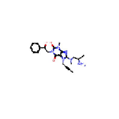 CC#CCn1c(N(C)CC(C)N)nc2c1c(=O)n(CC(=O)c1ccccc1)c(=O)n2C